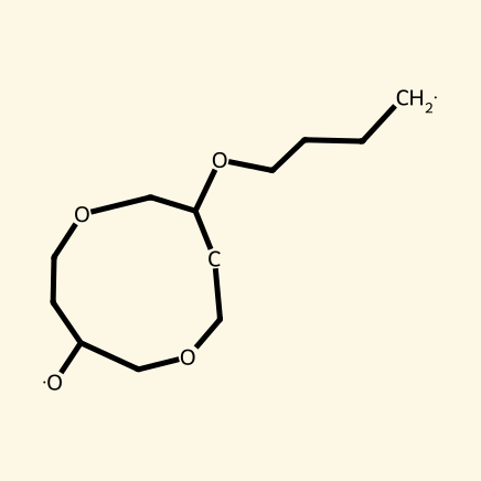 [CH2]CCCOC1CCOCC([O])CCOC1